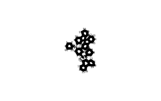 c1ccc(N(c2ccc(-c3sc4c5ccccc5c5ccccc5c4[n+]3-c3ccccc3)cc2)c2ccc3c(c2)C2(c4ccccc4-c4ccccc42)c2ccccc2-3)cc1